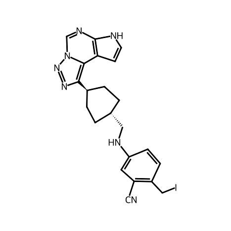 N#Cc1cc(NC[C@H]2CC[C@H](c3nnn4cnc5[nH]ccc5c34)CC2)ccc1CI